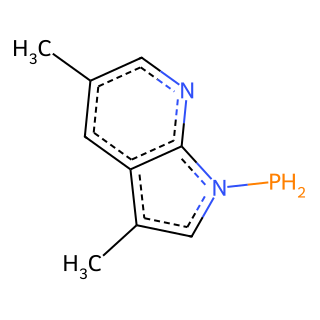 Cc1cnc2c(c1)c(C)cn2P